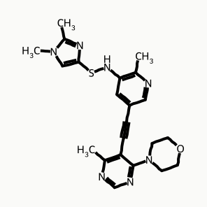 Cc1ncc(C#Cc2c(C)ncnc2N2CCOCC2)cc1NSc1cn(C)c(C)n1